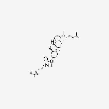 CC(C)CCC[C@@H](C)C1CCC2[C@@H]3CC=C4C[C@@H](OC(=O)NCCCN)CC[C@]4(C)C3CC[C@@]21C